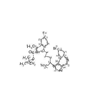 CC(CCCOc1ccc(F)cc1[C@@H](C)NC(=O)OC(C)(C)C)n1cnc2cnc3ccc(Br)cc3c21